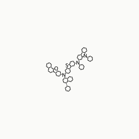 c1ccc(-c2ccc(N(c3ccc4c(c3)oc3c5ccccc5ccc43)c3ccc4c(c3)sc3ccc(N(c5ccccc5)c5ccc6c7ccccc7n(-c7ccccc7)c6c5)cc34)c3ccccc23)cc1